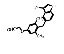 Cc1cc(OCC=O)cc(C)c1Cc1ccc2[nH]cc(C(C)C)c2c1